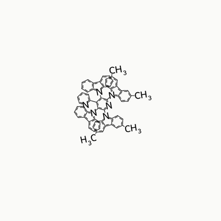 Cc1ccc2c(c1)c1cc(C)ccc1n2-c1nc(-n2c3ccc(C)cc3c3cc(C)ccc32)c(-n2c3ccccc3c3ccccc32)c(-c2ccccn2)c1-n1c2ccccc2c2ccccc21